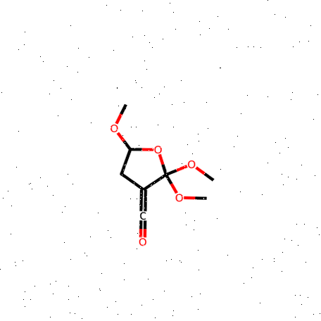 COC1CC(=C=O)C(OC)(OC)O1